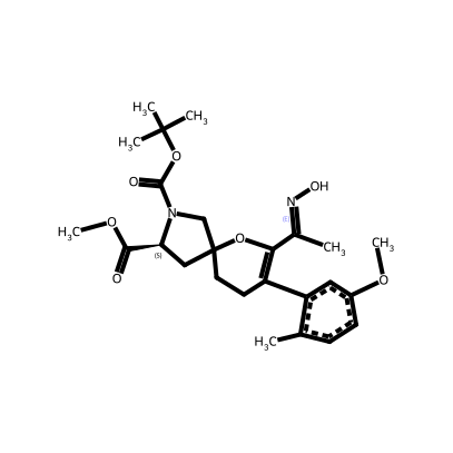 COC(=O)[C@@H]1CC2(CCC(c3cc(OC)ccc3C)=C(/C(C)=N/O)O2)CN1C(=O)OC(C)(C)C